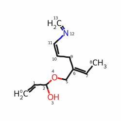 C=CC(O)OC/C(=C/C)C/C=C\N=C